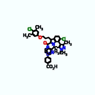 Cc1cc(OCCCc2c(C(=O)N3CCN(c4ccc(C(=O)O)cc4)CC3)n(Cc3ccccn3)c3c(-c4c(C)nn(C)c4C)c(Cl)ccc23)cc(C)c1Cl